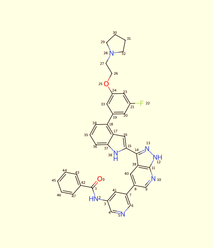 O=C(Nc1cncc(-c2cnc3[nH]nc(-c4cc5c(-c6cc(F)cc(OCCN7CCCC7)c6)cccc5[nH]4)c3c2)c1)c1ccccc1